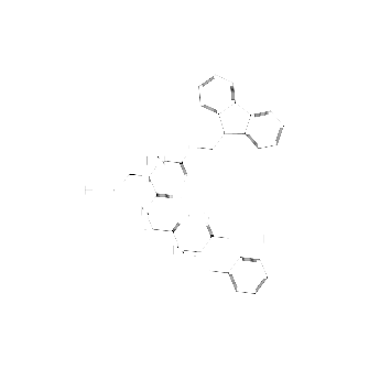 C[C@H](NC(=O)[C@@H](CC(=O)O)NC(=O)OCC1c2ccccc2-c2ccccc21)C(=O)N[C@@H](Cc1ccccc1)C(=O)C(=O)O